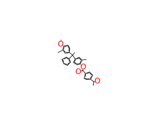 COc1ccc(C(C)(c2ccccc2)c2ccc(OC(=O)c3ccc(C(C)=O)cc3)c(C)c2)cc1C